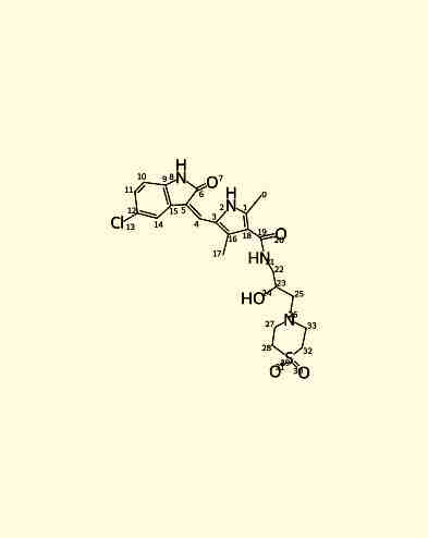 Cc1[nH]c(C=C2C(=O)Nc3ccc(Cl)cc32)c(C)c1C(=O)NCC(O)CN1CCS(=O)(=O)CC1